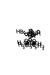 Br.CC(C)(C)C(=O)Oc1ccc(C(=O)CNCC(Cc2ccccc2)NC(=O)[C@H]2CCCN2C(=O)Cc2ccccc2)cc1OC(=O)C(C)(C)C